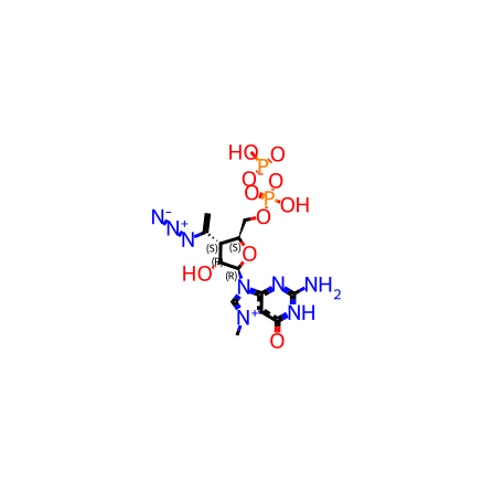 C=C(N=[N+]=[N-])[C@H]1[C@@H](O)[C@H](n2c[n+](C)c3c(=O)[nH]c(N)nc32)O[C@@H]1COP(=O)(O)OP(=O)([O-])O